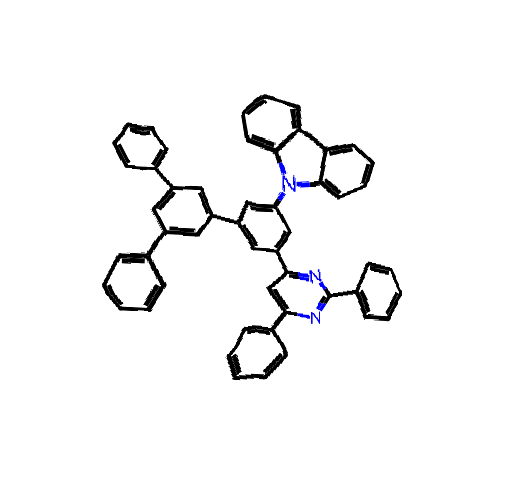 c1ccc(-c2cc(-c3ccccc3)cc(-c3cc(-c4cc(-c5ccccc5)nc(-c5ccccc5)n4)cc(-n4c5ccccc5c5ccccc54)c3)c2)cc1